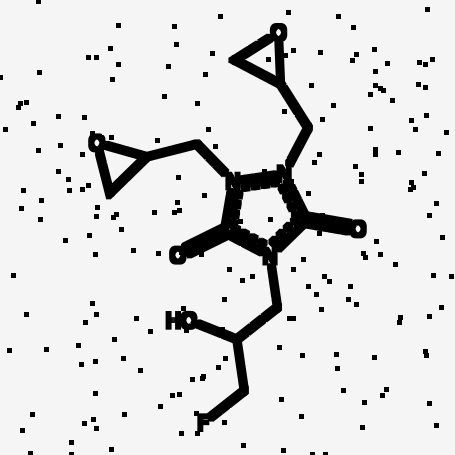 O=c1n(CC(O)CF)c(=O)n(CC2CO2)n1CC1CO1